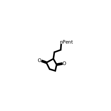 CCCCCCCC1C(=O)CCC1=O